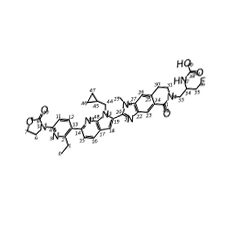 CCc1nc(N2CCOC2=O)ccc1-c1ccc2cc(-c3nc4cc5c(cc4n3C)CCN(CC(CF)NC(=O)O)C5=O)n(CC3CC3)c2n1